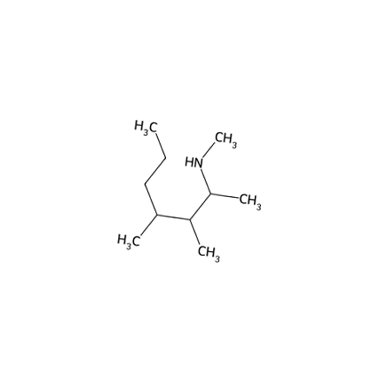 CCCC(C)C(C)C(C)NC